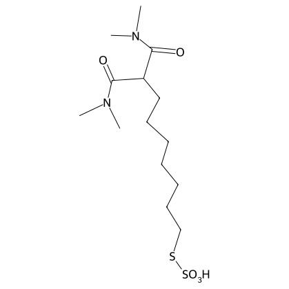 CN(C)C(=O)C(CCCCCCCSS(=O)(=O)O)C(=O)N(C)C